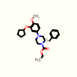 CCOC(=O)N1CCN(c2ccc(OC)c(OC3CCCC3)c2)C[C@@H]1Cc1ccccc1